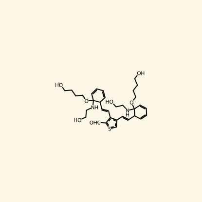 O=Cc1scc(C=CC2C=CC=CC2(NCCO)OCCCCO)c1C=CC1C=CC=CC1(NCCO)OCCCCO